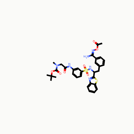 CC(=O)O/N=C(/N)c1cccc(CC(NS(=O)(=O)c2cccc(NC(=O)CN(C)C(=O)OC(C)(C)C)c2)c2nc3ccccc3s2)c1